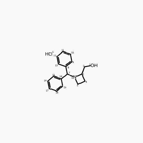 Cl.OCC1CCN1C(c1ccccc1)c1ccccc1